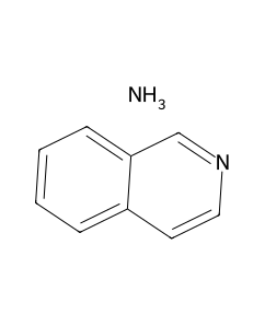 N.c1ccc2cnccc2c1